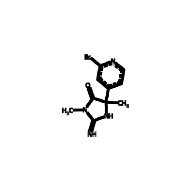 CN1C(=N)NC(C)(c2ccnc(Br)c2)C1=O